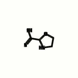 S=C(S)C1NCCO1